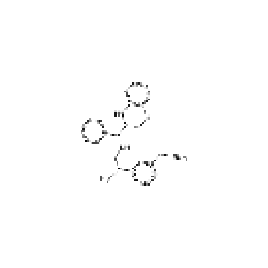 C[C@H](CN[C@H](c1ccccc1)[C@H]1CNc2cccnc2N1)c1cccc(CC#N)c1